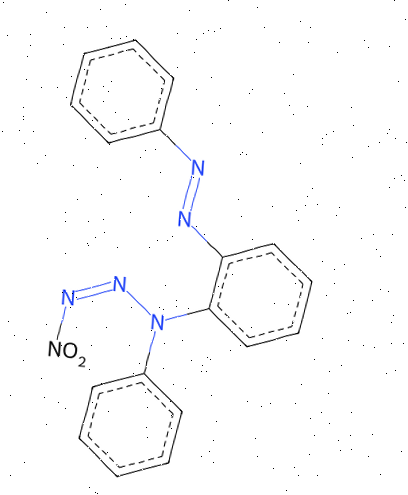 O=[N+]([O-])/N=N\N(c1ccccc1)c1ccccc1/N=N/c1ccccc1